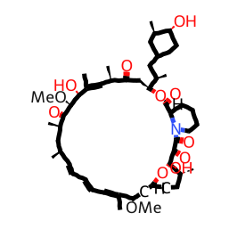 CO[C@H]1C[C@@H]2CC[C@@H](C)[C@@](O)(O2)C(=O)C(=O)N2CCCC[C@H]2C(=O)O[C@H]([C@H](C)CC2CC[C@@H](O)[C@H](C)C2)CC(=O)[C@H](C)/C=C(\C)[C@@H](O)[C@@H](OC)C(=O)[C@H](C)C[C@H](C)/C=C/C=C/C=C/1C